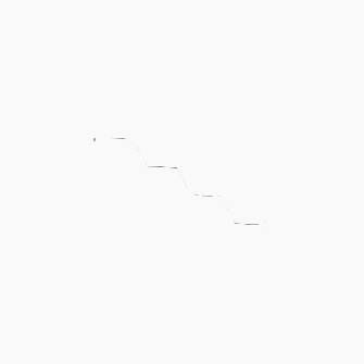 CCCOCCOCCC(C)=O